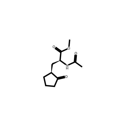 COC(=O)[C@H](C[C@@H]1CCCC1=O)NC(C)=O